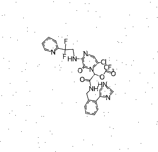 O=C(NCc1ccccc1-c1c[nH]cn1)C(OC(=O)C(F)(F)F)n1c(Cl)cnc(NCC(F)(F)c2ccccn2)c1=O